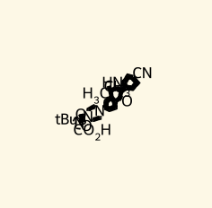 CC1(C)c2cc(N3CCN(S(=O)(=O)N(C(=O)O)C(C)(C)C)CC3)ccc2C(=O)c2c1[nH]c1cc(C#N)ccc21